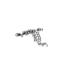 O.O.O.O.O.O.O.O=CO.[Cl][Mg][Cl].[MgH2]